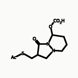 CC(=O)SCC1CN2CCCC(OC(=O)O)N2C1=O